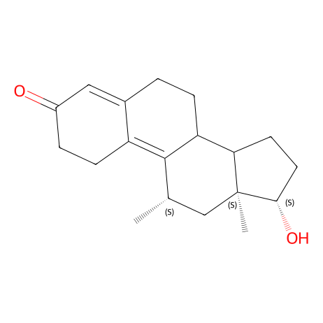 C[C@H]1C[C@@]2(C)C(CC[C@@H]2O)C2CCC3=CC(=O)CCC3=C21